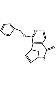 O=C1NC2C=CC(C2)c2c1ccnc2OCc1ccccc1